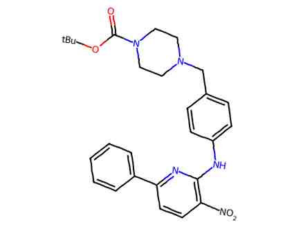 CC(C)(C)OC(=O)N1CCN(Cc2ccc(Nc3nc(-c4ccccc4)ccc3[N+](=O)[O-])cc2)CC1